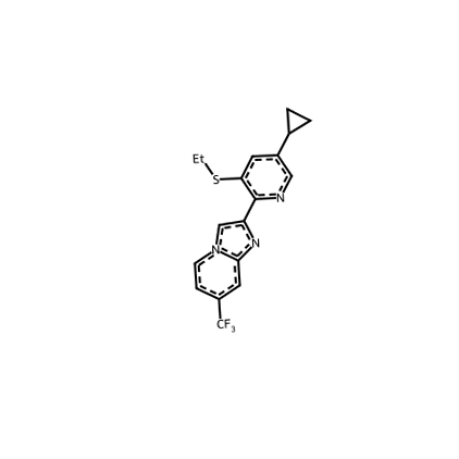 CCSc1cc(C2CC2)cnc1-c1cn2ccc(C(F)(F)F)cc2n1